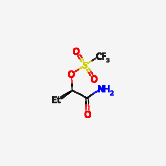 CC[C@@H](OS(=O)(=O)C(F)(F)F)C(N)=O